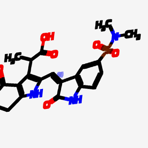 CC(C(=O)O)c1c(/C=C2\C(=O)Nc3ccc(S(=O)(=O)N(C)C)cc32)[nH]c2c1C(=O)CCC2